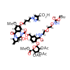 C=C1C[C@H]2C(O)N(C(=O)OCc3ccc(O[C@@H]4O[C@H](C(=O)OC)[C@@H](OC(C)=O)[C@H](OC(C)=O)[C@H]4OC(C)=O)c(C(=O)NCCOCCONC(=O)OC(C)(C)C)c3)c3cc(OCCCCn4cc(C(=O)O)cn4)c(OC)cc3C(=O)N2C1